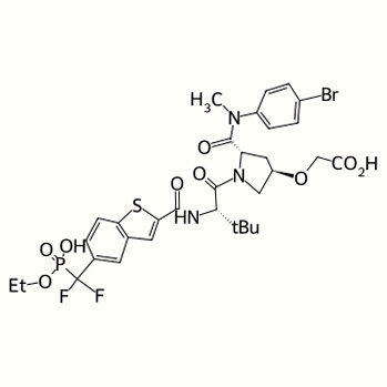 CCOP(=O)(O)C(F)(F)c1ccc2sc(C(=O)N[C@H](C(=O)N3C[C@H](OCC(=O)O)C[C@H]3C(=O)N(C)c3ccc(Br)cc3)C(C)(C)C)cc2c1